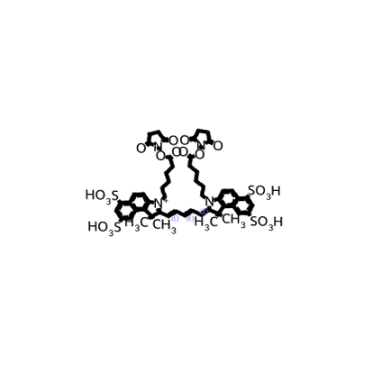 CC1(C)C(/C=C/C=C/C=C2\N(CCCCCC(=O)ON3C(=O)CCC3=O)c3ccc4c(S(=O)(=O)O)cc(S(=O)(=O)O)cc4c3C2(C)C)=[N+](CCCCCC(=O)ON2C(=O)CCC2=O)c2ccc3c(S(=O)(=O)O)cc(S(=O)(=O)O)cc3c21